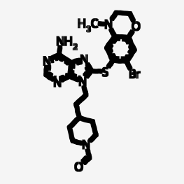 CN1CCOc2cc(Br)c(Sc3nc4c(N)ncnc4n3CCC3CCN(C=O)CC3)cc21